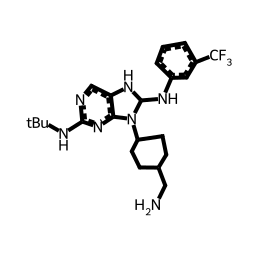 CC(C)(C)Nc1ncc2c(n1)N(C1CCC(CN)CC1)C(Nc1cccc(C(F)(F)F)c1)N2